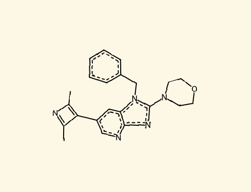 CC1=NC(C)=C1c1cnc2nc(N3CCOCC3)n(Cc3ccccc3)c2c1